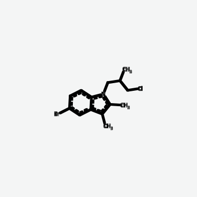 Cc1c(C)n(CC(C)CCl)c2ccc(Br)cc12